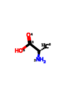 [13CH3][C@H](N)C(=O)O